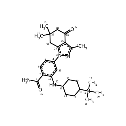 Cc1nn(-c2ccc(C(N)=O)c(NC3CCC([N+](C)(C)C)CC3)c2)c2c1C(=O)CC(C)(C)C2